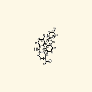 CC(=O)N1CCC(Nc2ccc(CN(CC(C)C)S(=O)(=O)Cc3ccccc3)cc2)CC1